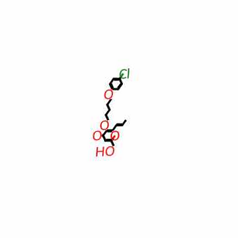 CC=Cc1oc(CO)cc(=O)c1OCCCCCOc1ccc(Cl)cc1